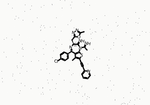 CC(=N)N1C(=N)[C@H](Cc2nnc(C)o2)N=C(c2ccc(Cl)cc2)c2c1sc(C#Cc1ccccn1)c2C